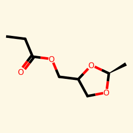 CCC(=O)OCC1CO[C@H](C)O1